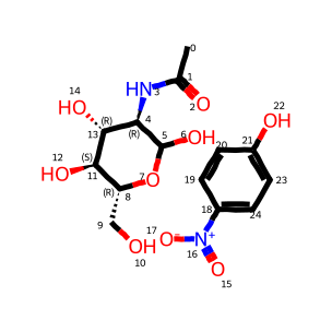 CC(=O)N[C@H]1C(O)O[C@H](CO)[C@@H](O)[C@@H]1O.O=[N+]([O-])c1ccc(O)cc1